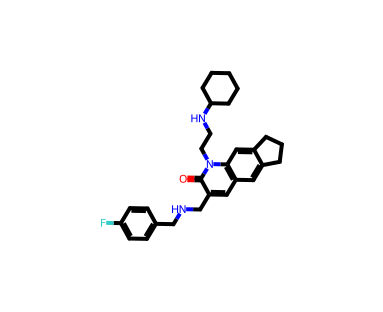 O=c1c(CNCc2ccc(F)cc2)cc2cc3c(cc2n1CCNC1CCCCC1)CCC3